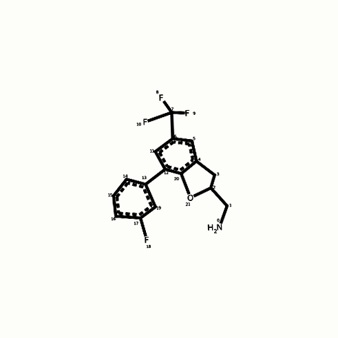 NCC1Cc2cc(C(F)(F)F)cc(-c3cccc(F)c3)c2O1